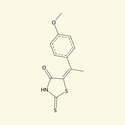 COc1ccc(/C(C)=C2/SC(=S)NC2=O)cc1